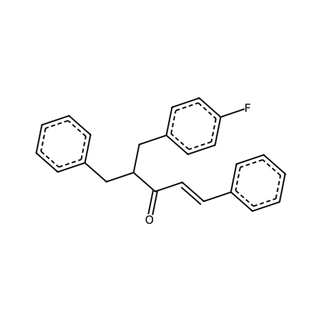 O=C(C=Cc1ccccc1)C(Cc1ccccc1)Cc1ccc(F)cc1